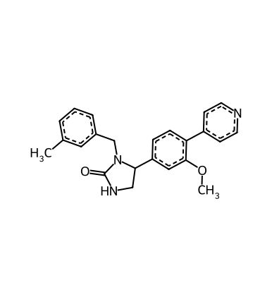 COc1cc(C2CNC(=O)N2Cc2cccc(C)c2)ccc1-c1ccncc1